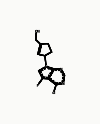 OCC1=CC(n2cc(F)c3c(Cl)ncnc32)CC1